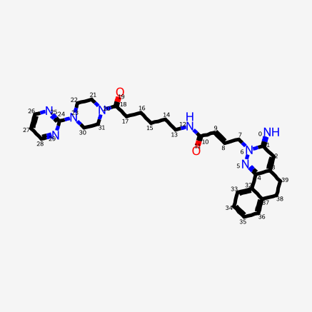 N=c1cc2c(nn1C/C=C/C(=O)NCCCCCC(=O)N1CCN(c3ncccn3)CC1)-c1ccccc1CC2